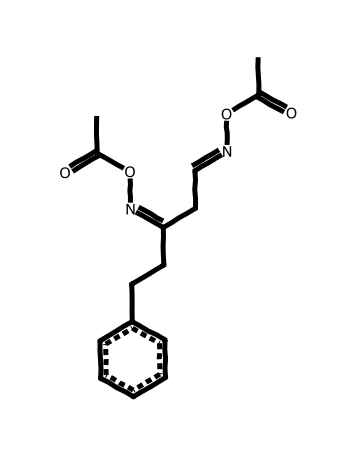 CC(=O)ON=CCC(CCc1ccccc1)=NOC(C)=O